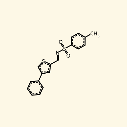 Cc1ccc(S(=O)(=O)N=Cc2cc(-c3ccccc3)cs2)cc1